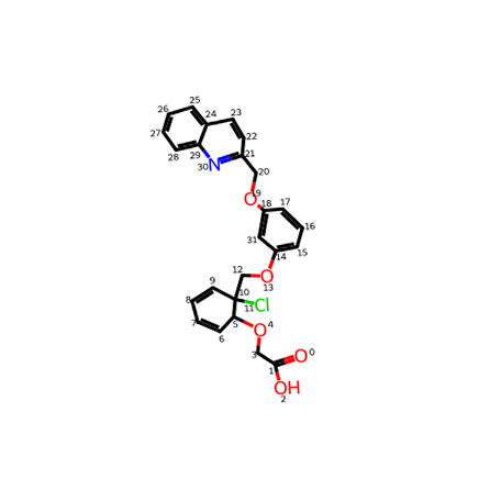 O=C(O)COC1C=CC=CC1(Cl)COc1cccc(OCc2ccc3ccccc3n2)c1